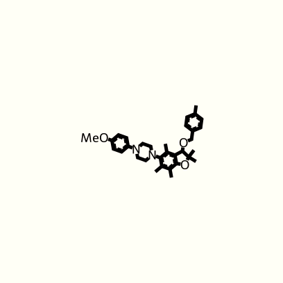 COc1ccc(N2CCN(c3c(C)c(C)c4c(c3C)C(OCc3ccc(C)cc3)C(C)(C)O4)CC2)cc1